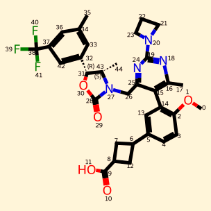 COc1ccc(C2CC(C(=O)O)C2)cc1-c1c(C)nc(N2CCC2)nc1CN1C(=O)O[C@H](c2cc(C)cc(C(F)(F)F)c2)[C@@H]1C